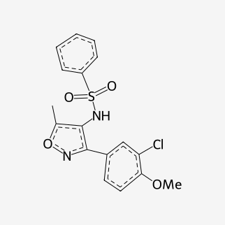 COc1ccc(-c2noc(C)c2NS(=O)(=O)c2ccccc2)cc1Cl